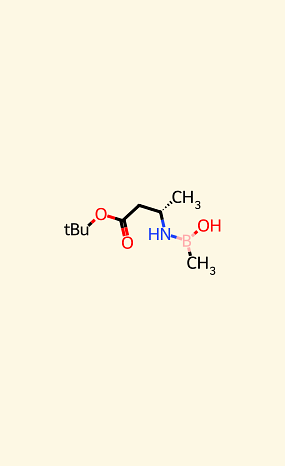 CB(O)N[C@@H](C)CC(=O)OC(C)(C)C